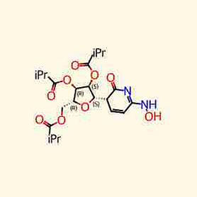 CC(C)C(=O)OC[C@H]1O[C@@H](C2C=CC(NO)=NC2=O)[C@H](OC(=O)C(C)C)[C@@H]1OC(=O)C(C)C